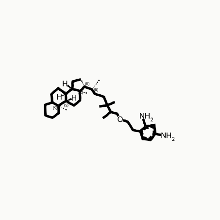 CC(COCCc1ccc(N)cc1N)C(C)(C)CC[C@@H](C)[C@H]1CC[C@H]2[C@@H]3CCC4CCCC[C@]4(C)[C@H]3CC[C@]12C